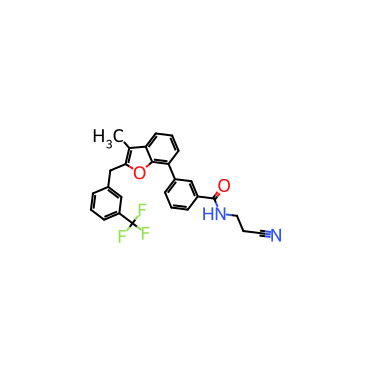 Cc1c(Cc2cccc(C(F)(F)F)c2)oc2c(-c3cccc(C(=O)NCCC#N)c3)cccc12